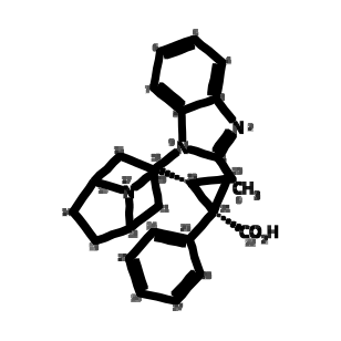 Cc1nc2ccccc2n1C1CC2CCC(C1)N2C[C@@H]1C[C@@]1(C(=O)O)c1ccccc1